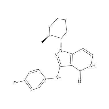 C[C@H]1CCCC[C@@H]1n1nc(Nc2ccc(F)cc2)c2c(=O)[nH]ccc21